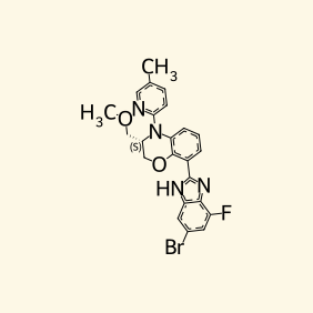 COC[C@H]1COc2c(-c3nc4c(F)cc(Br)cc4[nH]3)cccc2N1c1ccc(C)cn1